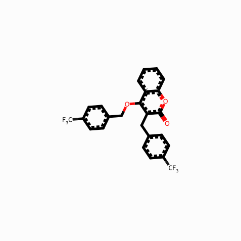 O=c1oc2ccccc2c(OCc2ccc(C(F)(F)F)cc2)c1Cc1ccc(C(F)(F)F)cc1